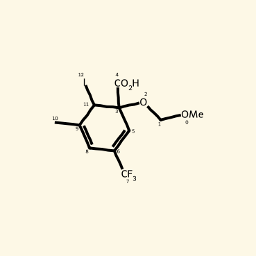 COCOC1(C(=O)O)C=C(C(F)(F)F)C=C(C)C1I